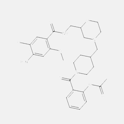 COc1cc(N)c(Cl)cc1C(=O)NCC1CN(CC2CCN(C(=O)c3ccccc3OC(C)=O)CC2)CCO1